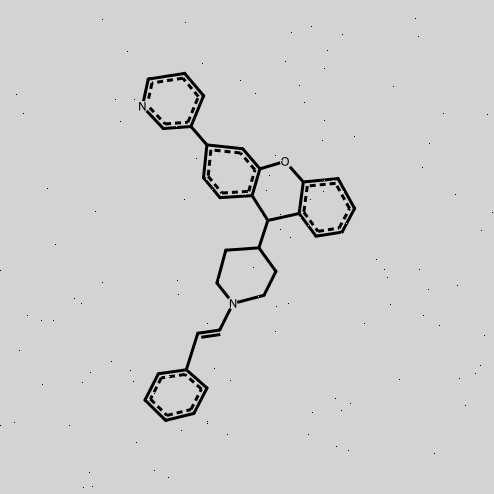 C(=CN1CCC(C2c3ccccc3Oc3cc(-c4cccnc4)ccc32)CC1)c1ccccc1